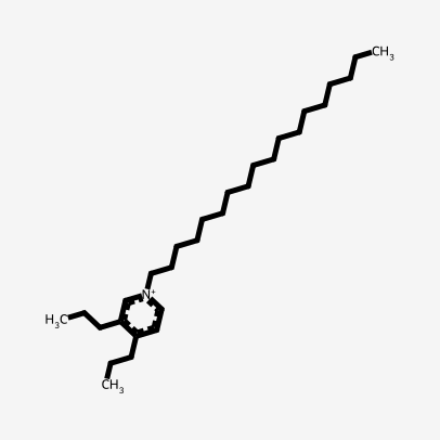 CCCCCCCCCCCCCCCCCC[n+]1ccc(CCC)c(CCC)c1